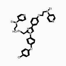 CCN(CCO)c1ccncc1.CCN(CCOc1ccc(-c2cn(-c3ccc(Oc4ccc(Cl)cc4)cc3)c(CC(C)C)n2)cc1)c1ccncc1